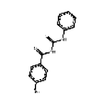 CC(C)(C)c1ccc(C(=O)NC(=S)Nc2ccccc2)cc1